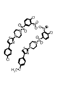 COc1ccc(-c2csc(N3CCN(S(=O)(=O)c4ccc(Cl)c([N+](=O)[O-])c4)CC3)n2)cc1.O=[N+]([O-])c1cc(S(=O)(=O)N2CCN(c3nc(-c4ccc(Cl)cc4)cs3)CC2)ccc1Cl